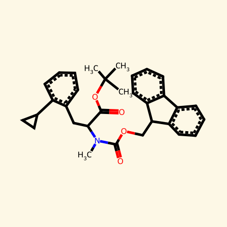 CN(C(=O)OCC1c2ccccc2-c2ccccc21)C(Cc1ccccc1C1CC1)C(=O)OC(C)(C)C